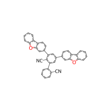 N#Cc1ccccc1-c1cc(-c2ccc3c(c2)oc2ccccc23)cc(-c2ccc3c(c2)oc2ccccc23)c1C#N